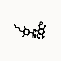 CCCCc1c(C)cc(/C(N)=N/c2cc(F)cc(F)c2C=O)cc1C